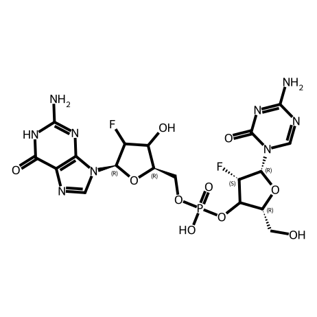 Nc1ncn([C@@H]2O[C@H](CO)C(OP(=O)(O)OC[C@H]3O[C@@H](n4cnc5c(=O)[nH]c(N)nc54)C(F)C3O)[C@@H]2F)c(=O)n1